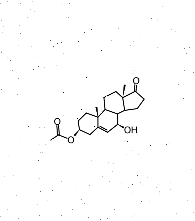 CC(=O)O[C@H]1CC[C@@]2(C)C(=C[C@H](O)C3C2CC[C@]2(C)C(=O)CCC32)C1